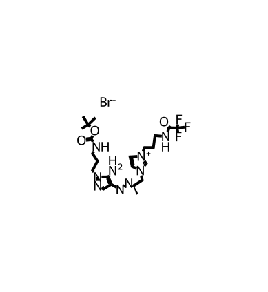 C[C@H](Cn1cc[n+](CCCNC(=O)C(F)(F)F)c1)/N=N/c1cnn(CCCNC(=O)OC(C)(C)C)c1N.[Br-]